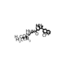 CC(C)(C)OC(=O)NCCCNC(=O)c1cnc2[nH]cc(-c3cc(Cl)c4ncccc4c3)c2c1